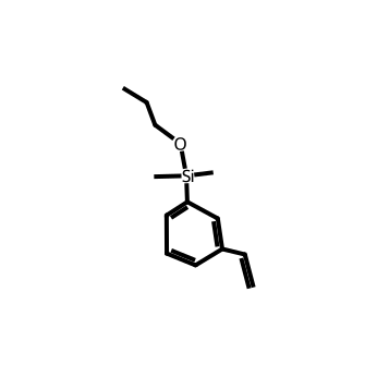 C=Cc1cccc([Si](C)(C)OCCC)c1